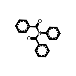 O=C(c1ccccc1)N(C(=O)c1ccccc1)c1ccccc1